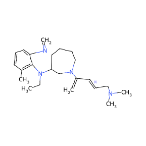 C=Nc1cccc(C)c1N(CC)C1CCCCN(C(=C)/C=C/CN(C)C)C1